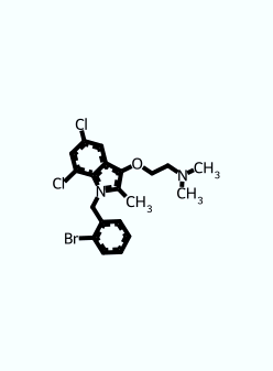 Cc1c(OCCN(C)C)c2cc(Cl)cc(Cl)c2n1Cc1ccccc1Br